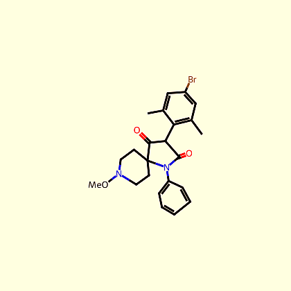 CON1CCC2(CC1)C(=O)C(c1c(C)cc(Br)cc1C)C(=O)N2c1ccccc1